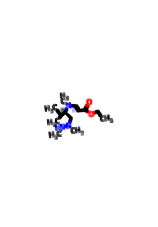 CCOC(=O)/C=C/N(C)[C@@H](CN(C)NC)C(C)C